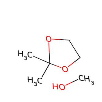 CC1(C)OCCO1.CO